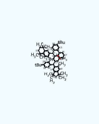 Cc1cc2c3c(c1)C(c1ccc(C(C)(C)C)cc1-c1ccccc1)c1cc4c(cc1B3c1cc(C(C)(C)C)ccc1C2c1cc2c(cc1C)C(C)(C)CC2(C)C)C(C)(C)CCC4(C)C